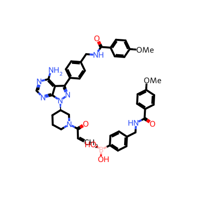 C=CC(=O)N1CCC[C@@H](n2nc(-c3ccc(CNC(=O)c4ccc(OC)cc4)cc3)c3c(N)ncnc32)C1.COc1ccc(C(=O)NCc2ccc(B(O)O)cc2)cc1